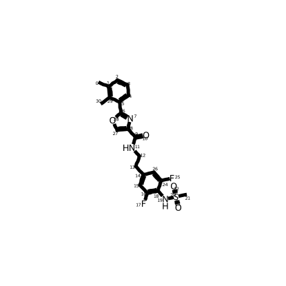 Cc1cccc(-c2nc(C(=O)NCCc3cc(F)c(NS(C)(=O)=O)c(F)c3)co2)c1C